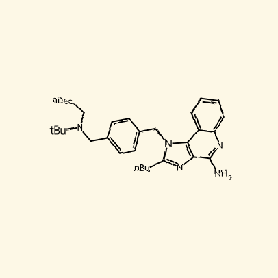 CCCCCCCCCCCN(Cc1ccc(Cn2c(CCCC)nc3c(N)nc4ccccc4c32)cc1)C(C)(C)C